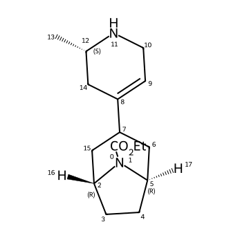 CCOC(=O)N1[C@@H]2CC[C@@H]1CC(C1=CCN[C@@H](C)C1)C2